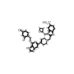 O=C(O)c1ccc2nc(CN3CC=C(c4cc5nc[nH]c5c(OCc5ccc(Cl)cc5F)n4)CC3)n(C[C@@H]3CCO3)c2c1